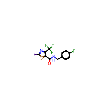 O=C(NCc1ccc(F)cc1)c1sc(I)nc1C(F)(F)F